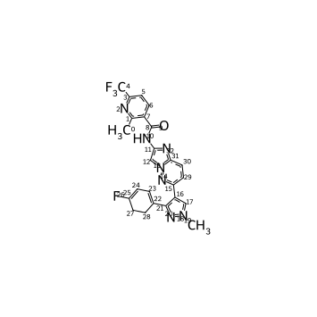 Cc1nc(C(F)(F)F)ccc1C(=O)Nc1cn2nc(-c3cn(C)nc3C3=CC=C(F)CC3)ccc2n1